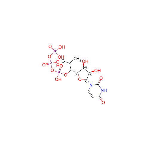 CC(C)C(OP(=O)(O)OP(=O)(O)OP(=O)(O)O)[C@H]1O[C@@H](n2ccc(=O)[nH]c2=O)[C@H](O)[C@@H]1O